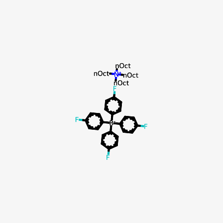 CCCCCCCC[N+](CCCCCCCC)(CCCCCCCC)CCCCCCCC.Fc1ccc([B-](c2ccc(F)cc2)(c2ccc(F)cc2)c2ccc(F)cc2)cc1